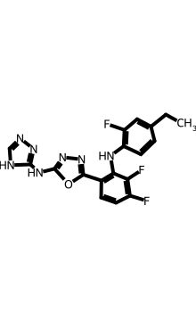 CCc1ccc(Nc2c(-c3nnc(Nc4nnc[nH]4)o3)ccc(F)c2F)c(F)c1